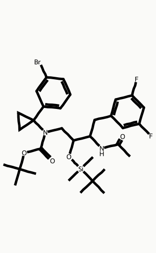 CC(=O)NC(Cc1cc(F)cc(F)c1)C(CN(C(=O)OC(C)(C)C)C1(c2cccc(Br)c2)CC1)O[Si](C)(C)C(C)(C)C